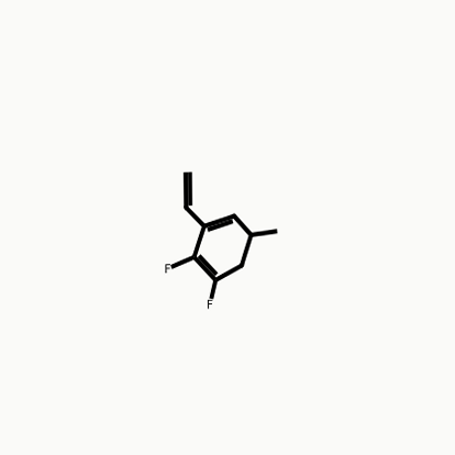 C=CC1=CC(C)CC(F)=C1F